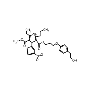 CCCC1=C(C(=O)OCCCOc2ccc(CCO)cc2)C(c2cccc([N+](=O)[O-])c2)C(C(=O)OC)=C(CC)N1